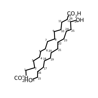 O=C(O)CCCCCCCCCCCCC(=O)O.OCCCCCCCCCCCCO